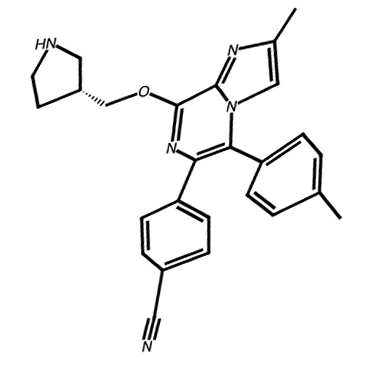 Cc1ccc(-c2c(-c3ccc(C#N)cc3)nc(OC[C@@H]3CCNC3)c3nc(C)cn23)cc1